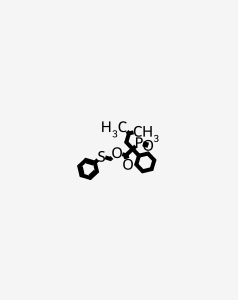 CC(C)CC(P=O)(C(=O)OCSc1ccccc1)C1CCCCC1